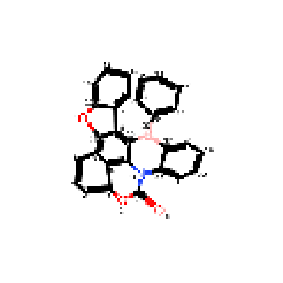 O=C1Oc2cccc3c2c2c(c4c5ccccc5oc34)B(c3ccccc3)c3ccccc3N12